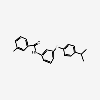 Cc1cccc(C(=O)Nc2cccc(Oc3ccc(C(C)C)cc3)c2)c1